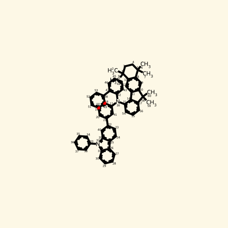 CC1(C)CCC(C)(C)c2cc3c(cc21)-c1c(N(c2cccc(-c4ccc5c6ccccc6n(-c6ccccc6)c5c4)c2)c2ccccc2-c2ccccc2)cccc1C3(C)C